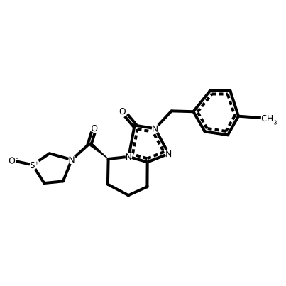 Cc1ccc(Cn2nc3n(c2=O)[C@H](C(=O)N2CC[S+]([O-])C2)CCC3)cc1